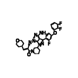 N#CC(=CC1CCOCC1)C(=O)N1CCCC(n2nc(-c3ccc(Oc4cccc(F)c4F)cc3F)c3c(N)ncnc32)C1